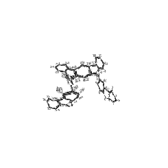 c1ccc2c(c1)Cc1ccc(-n3c4ccccc4c4cc5c6ccccc6n(-c6ccc7oc8ccccc8c7c6)c5cc43)cc1-2